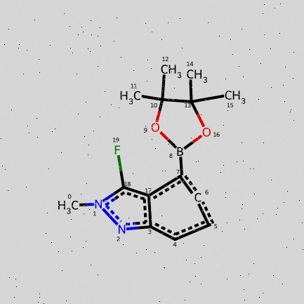 Cn1nc2cccc(B3OC(C)(C)C(C)(C)O3)c2c1F